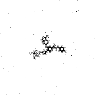 CC(C)(C)[Si](C)(C)OCc1ncc(-c2cnc(C(=O)NCc3ccc(Cl)cc3)cc2O[C@H]2CCN3C(=O)OC[C@@H]3C2)o1